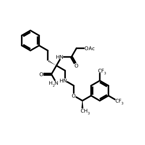 CC(=O)OCC(=O)N[C@@](CCc1ccccc1)(CNCO[C@H](C)c1cc(C(F)(F)F)cc(C(F)(F)F)c1)C(N)=O